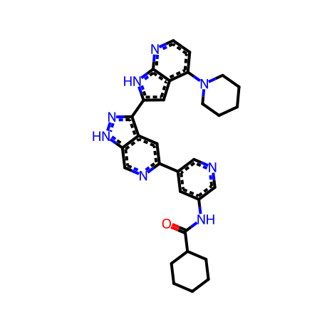 O=C(Nc1cncc(-c2cc3c(-c4cc5c(N6CCCCC6)ccnc5[nH]4)n[nH]c3cn2)c1)C1CCCCC1